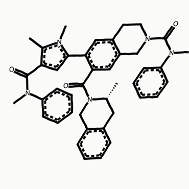 Cc1c(C(=O)N(C)c2ccccc2)cc(-c2cc3c(cc2C(=O)N2Cc4ccccc4C[C@H]2C)CN(C(=O)N(C)c2ccccc2)CC3)n1C